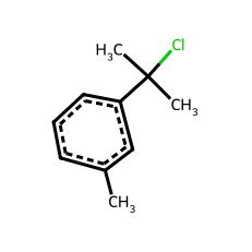 Cc1cccc(C(C)(C)Cl)c1